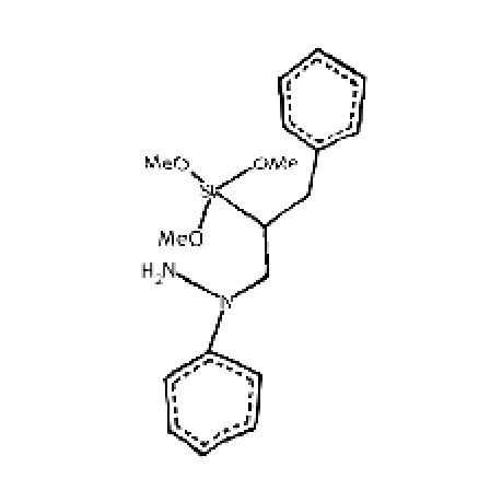 CO[Si](OC)(OC)C(Cc1ccccc1)CN(N)c1ccccc1